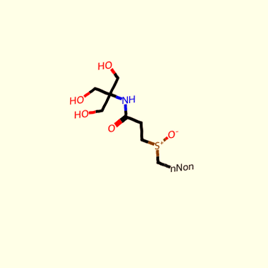 CCCCCCCCCC[S+]([O-])CCC(=O)NC(CO)(CO)CO